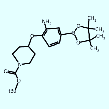 CC(C)(C)OC(=O)N1CCC(Oc2ccc(B3OC(C)(C)C(C)(C)O3)cc2N)CC1